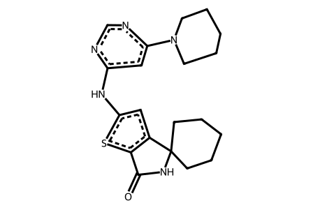 O=C1NC2(CCCCC2)c2cc(Nc3cc(N4CCCCC4)ncn3)sc21